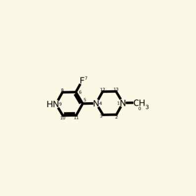 CN1CCN(C2=C(F)CNC=C2)CC1